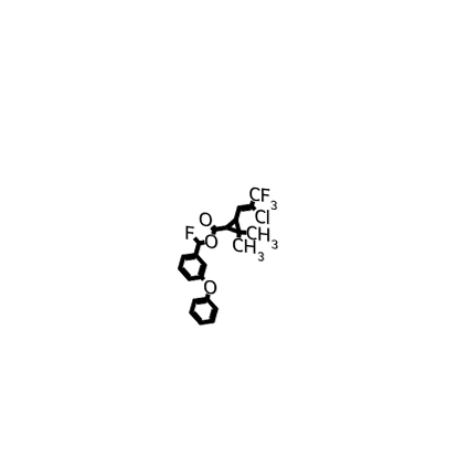 CC1(C)C(/C=C(\Cl)C(F)(F)F)C1C(=O)OC(F)c1cccc(Oc2ccccc2)c1